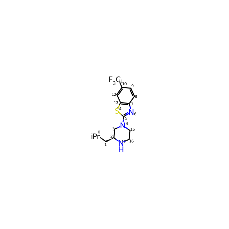 CC(C)C[C@H]1CN(c2nc3ccc(C(F)(F)F)cc3s2)CCN1